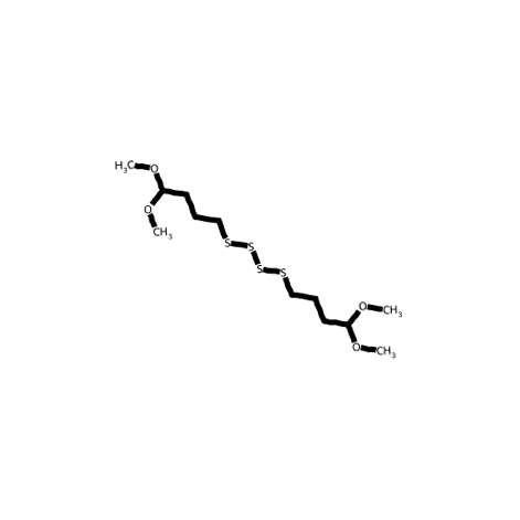 COC(CCCSSSSCCCC(OC)OC)OC